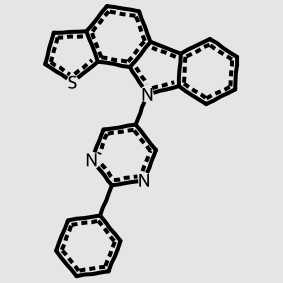 c1ccc(-c2ncc(-n3c4ccccc4c4ccc5ccsc5c43)cn2)cc1